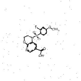 COc1ccc(S(=O)(=O)N2CCOc3ncc(C(=O)O)cc32)c(F)c1